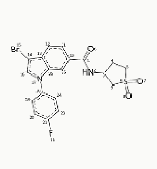 O=C(NC1CCS(=O)(=O)C1)c1ccc2c(Br)cn(-c3ccc(F)cc3)c2c1